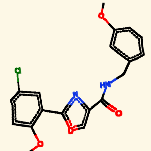 COc1cccc(CNC(=O)c2coc(-c3cc(Cl)ccc3OC)n2)c1